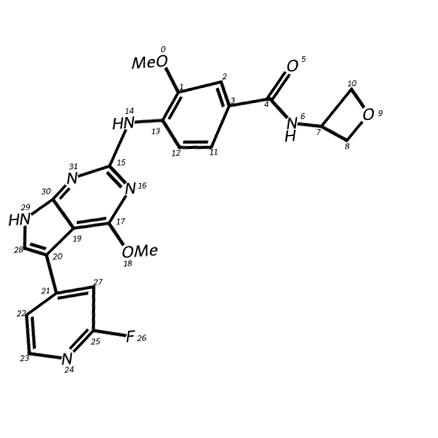 COc1cc(C(=O)NC2COC2)ccc1Nc1nc(OC)c2c(-c3ccnc(F)c3)c[nH]c2n1